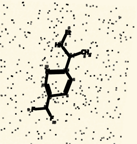 CCNC(C)c1ccc(C(F)F)cn1